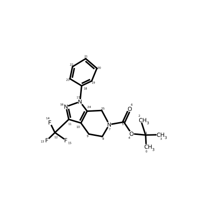 CC(C)(C)OC(=O)N1CCc2c(C(F)(F)F)nn(-c3ccccc3)c2C1